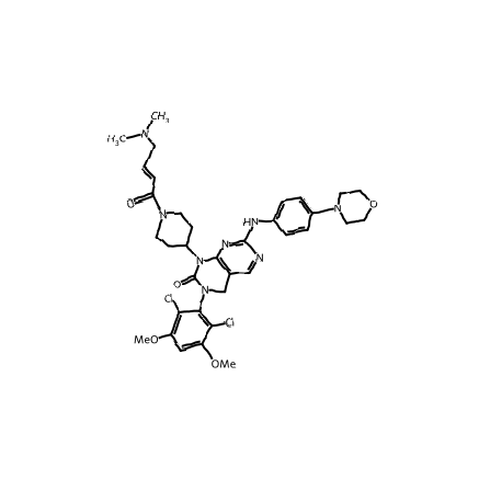 COc1cc(OC)c(Cl)c(N2Cc3cnc(Nc4ccc(N5CCOCC5)cc4)nc3N(C3CCN(C(=O)/C=C/CN(C)C)CC3)C2=O)c1Cl